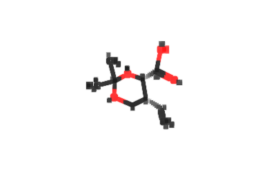 C=C[C@@H]1COC(C)(C)O[C@@H]1C(=O)O